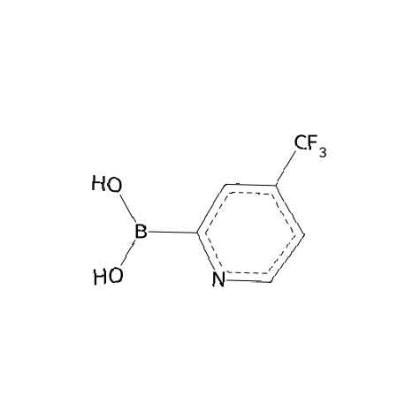 OB(O)c1cc(C(F)(F)F)ccn1